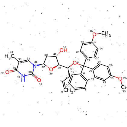 C=CC[C@H](OC(c1ccccc1)(c1ccc(OC)cc1)c1ccc(OC)cc1)[C@H]1O[C@@H](n2cc(C)c(=O)[nH]c2=O)C[C@@H]1O